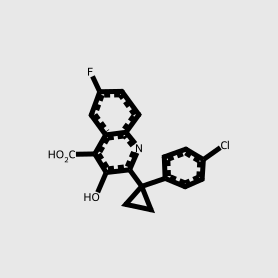 O=C(O)c1c(O)c(C2(c3ccc(Cl)cc3)CC2)nc2ccc(F)cc12